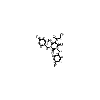 Nc1c(C(=O)CCl)c(=O)n(Cc2ccc(F)cc2)c(=O)n1Cc1ccc(F)cc1